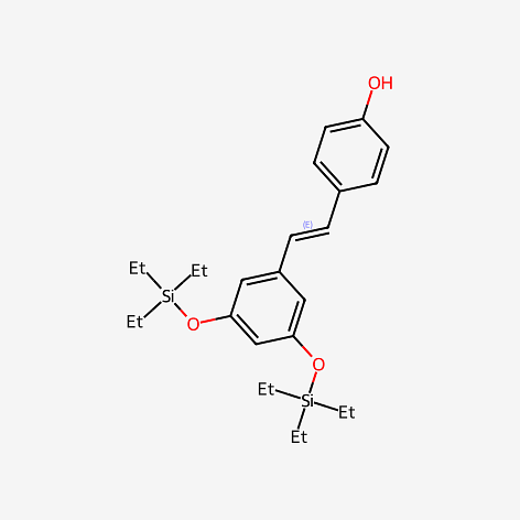 CC[Si](CC)(CC)Oc1cc(/C=C/c2ccc(O)cc2)cc(O[Si](CC)(CC)CC)c1